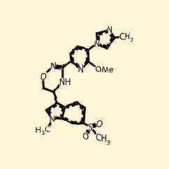 COc1nc(C2=NOCC(c3cn(C)c4cc(S(C)(=O)=O)ccc34)N2)ccc1-n1cnc(C)c1